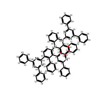 c1ccc(-c2cc(-c3c(N4c5ccccc5N(c5nc(-c6ccccc6)cc(-c6ccccc6)n5)c5ccccc54)ccc(-c4nc(-c5ccccc5)nc(-c5ccccc5)n4)c3-c3ccccc3)nc(-c3ccccc3)n2)cc1